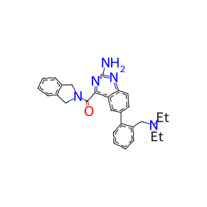 CCN(CC)Cc1ccccc1-c1ccc2nc(N)nc(C(=O)N3Cc4ccccc4C3)c2c1